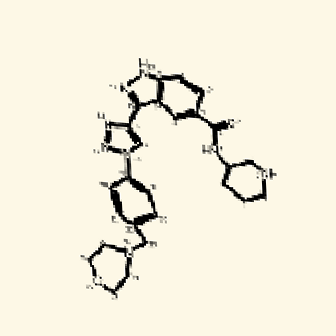 O=C(NC1CCCNC1)c1ccc2[nH]nc(-c3cn(-c4ccc(CN5CCOCC5)cc4)nn3)c2c1